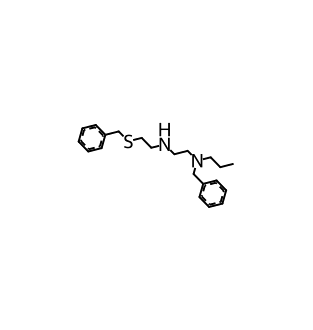 CCCN(CCNCCSCc1ccccc1)Cc1ccccc1